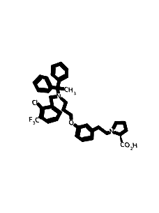 CC(c1ccccc1)(c1ccccc1)N(CCCOc1cccc(CCN2CCC[C@H]2C(=O)O)c1)Cc1cccc(C(F)(F)F)c1Cl